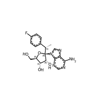 C[C@@H](c1ccc(F)cc1)[C@@]1(n2cnc3c(N)ncnc32)O[C@H](CO)[C@@H](O)[C@H]1O